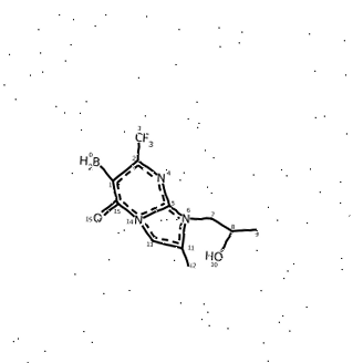 Bc1c(C(F)(F)F)nc2n(CC(C)O)c(C)cn2c1=O